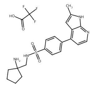 Cc1cc2c(-c3ccc(S(=O)(=O)NCC4(N)CCCC4)cc3)ccnc2[nH]1.O=C(O)C(F)(F)F